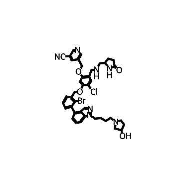 N#Cc1cncc(COc2cc(OCc3cccc(-c4cccc5c4cnn5CCCCN4CCC(O)C4)c3Br)c(Cl)cc2CNCC2CCC(=O)N2)c1